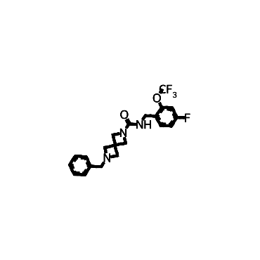 O=C(NCc1ccc(F)cc1OC(F)(F)F)N1CC2(CN(Cc3ccccc3)C2)C1